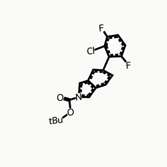 CC(C)(C)OC(=O)n1cc2ccc(-c3c(F)ccc(F)c3Cl)cc2c1